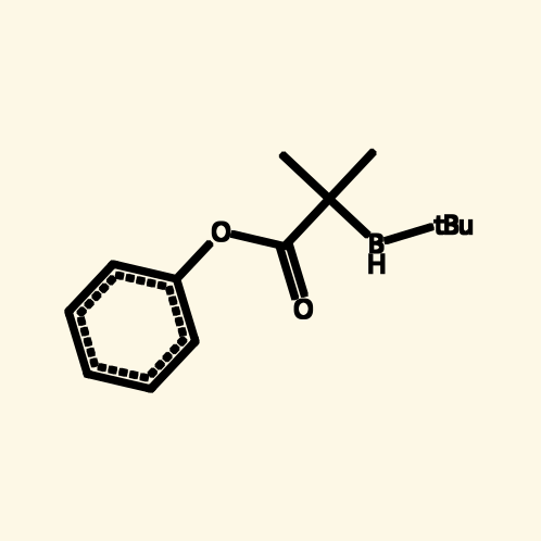 CC(C)(C)BC(C)(C)C(=O)Oc1ccccc1